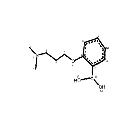 CN(C)CCCOc1ccccc1B(O)O